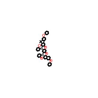 CC1(C)c2cc(Oc3ccccc3)ccc2-c2cc3c4c(c21)Oc1ccccc1B4c1cc2c(cc1O3)Oc1c3c(cc4cc(Oc5ccccc5)ccc14)Oc1ccccc1B23